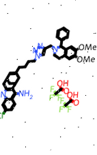 COc1cc2c(cc1OC)C(c1ccccc1)N(Cc1cn(CCCCC3=CC4Cc5nc6cc(Cl)ccc6c(N)c5C(C3)C4)nn1)CC2.O=C(O)C(F)(F)F.O=C(O)C(F)(F)F